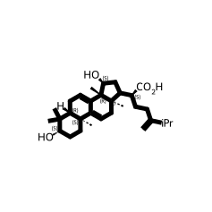 C=C(CC[C@H](C(=O)O)C1C[C@H](O)[C@@]2(C)C3=CC[C@H]4C(C)(C)[C@@H](O)CC[C@]4(C)C3=CC[C@]12C)C(C)C